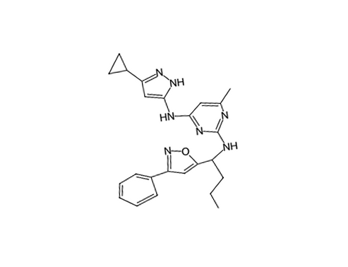 CCCC(Nc1nc(C)cc(Nc2cc(C3CC3)n[nH]2)n1)c1cc(-c2ccccc2)no1